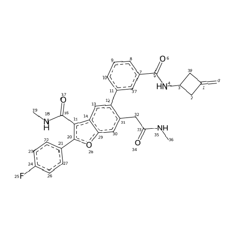 C=C1CC(NC(=O)c2cccc(-c3cc4c(C(=O)NC)c(-c5ccc(F)cc5)oc4cc3CC(=O)NC)c2)C1